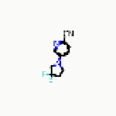 N#Cc1ccc(N2CCC(F)(F)C2)cn1